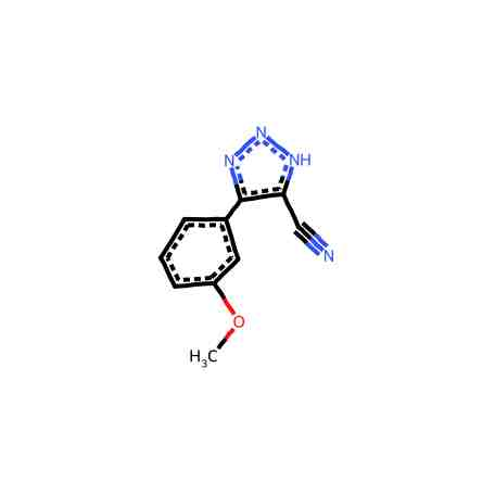 COc1cccc(-c2nn[nH]c2C#N)c1